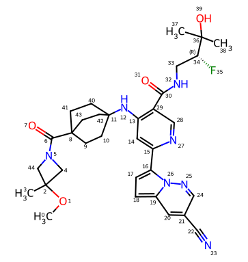 COC1(C)CN(C(=O)C23CCC(Nc4cc(-c5ccc6cc(C#N)cnn56)ncc4C(=O)NC[C@@H](F)C(C)(C)O)(CC2)CC3)C1